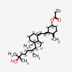 C=C1CC[C@H](OC(=O)CBr)C/C1=C\C=C1\CCC[C@@]2(C)C1CC[C@@H]2[C@H](C)CCCC(C)(C)O